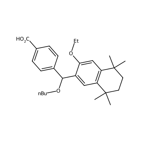 CCCCOC(c1ccc(C(=O)O)cc1)c1cc2c(cc1OCC)C(C)(C)CCC2(C)C